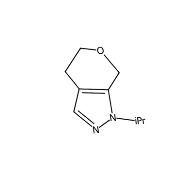 CC(C)n1ncc2c1COCC2